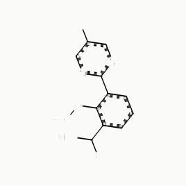 COc1c(-c2ncc(F)cn2)cccc1C(C)C